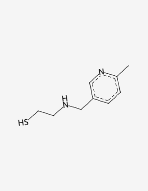 Cc1ccc(CNCCS)cn1